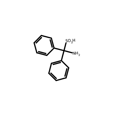 NC(c1ccccc1)(c1ccccc1)S(=O)(=O)O